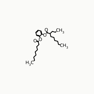 CCCCCCCCC(=O)Oc1ccccc1OC(=O)C(CCC)CCCCCC